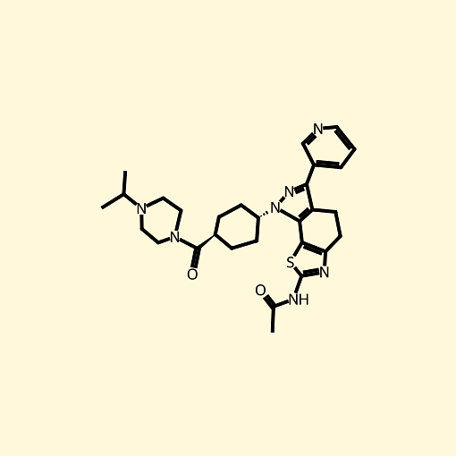 CC(=O)Nc1nc2c(s1)-c1c(c(-c3cccnc3)nn1[C@H]1CC[C@H](C(=O)N3CCN(C(C)C)CC3)CC1)CC2